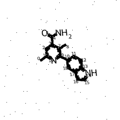 Cc1cc(C(N)=O)c(C)c(-c2ccc3[nH]ccc3c2)n1